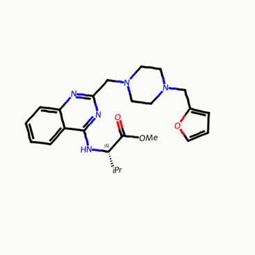 COC(=O)[C@@H](Nc1nc(CN2CCN(Cc3ccco3)CC2)nc2ccccc12)C(C)C